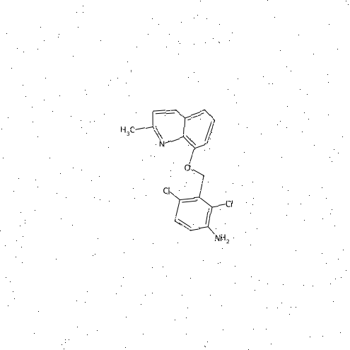 Cc1ccc2cccc(OCc3c(Cl)ccc(N)c3Cl)c2n1